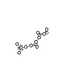 c1ccc(-c2nc(-c3ccccc3)nc(-c3ccc(-c4ccc(-n5c6ccccc6c6cc(-c7ccc8c(c7)c7ccccc7n8-c7ccc8oc9ccccc9c8c7)ccc65)cc4)cc3)n2)cc1